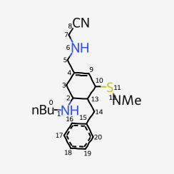 CCCCNC1CC(CNCC#N)=CC(SNC)C1Cc1ccccc1